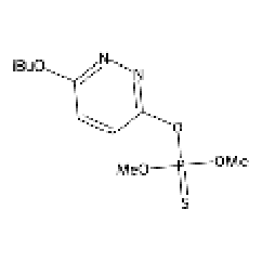 COP(=S)(OC)Oc1ccc(OCC(C)C)nn1